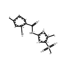 Cc1ccc(C(=O)Nc2nc(C)c(S(C)(=O)=O)s2)c(Br)c1